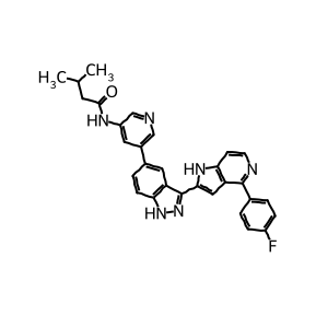 CC(C)CC(=O)Nc1cncc(-c2ccc3[nH]nc(-c4cc5c(-c6ccc(F)cc6)nccc5[nH]4)c3c2)c1